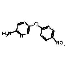 Nc1ccc(Oc2ccc([N+](=O)[O-])cc2)cn1